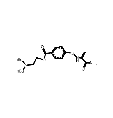 CCCCN(CCCC)CCOC(=O)c1ccc(ONC(=O)C(N)=O)cc1